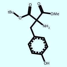 COC(=O)C(N)(Cc1ccc(O)cc1)C(=O)OC(C)(C)C